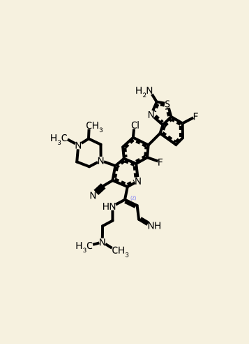 CC1CN(c2c(C#N)c(/C(=C/C=N)NCCN(C)C)nc3c(F)c(-c4ccc(F)c5sc(N)nc45)c(Cl)cc23)CCN1C